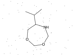 CC(C)C1COCOCN1